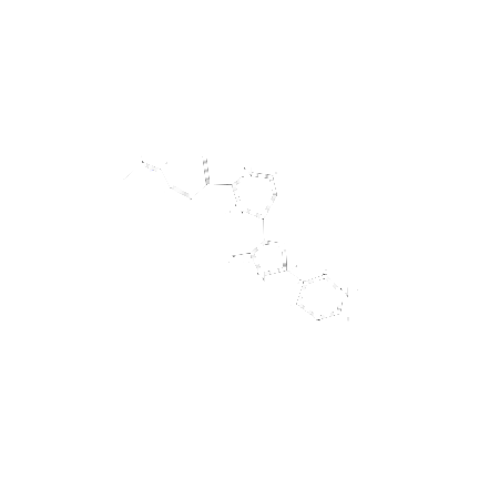 C=C(/C=C\C=C/C)c1nccc(-c2sc(-c3cccnc3)nc2C)n1